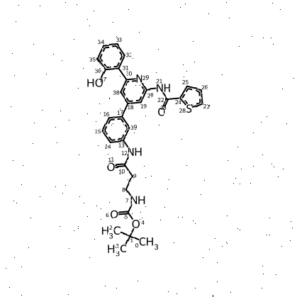 CC(C)(C)OC(=O)NCCC(=O)Nc1cccc(-c2cc(NC(=O)c3cccs3)nc(-c3ccccc3O)c2)c1